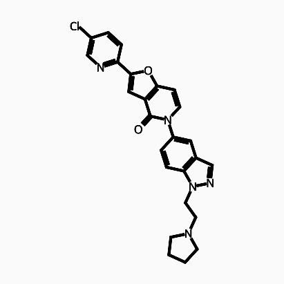 O=c1c2cc(-c3ccc(Cl)cn3)oc2ccn1-c1ccc2c(cnn2CCN2CCCC2)c1